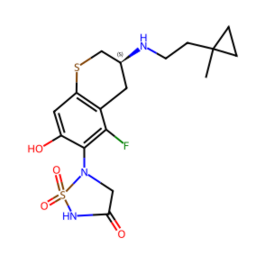 CC1(CCN[C@@H]2CSc3cc(O)c(N4CC(=O)NS4(=O)=O)c(F)c3C2)CC1